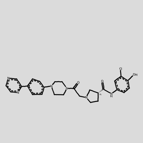 O=C(Nc1ccc(O)c(Cl)c1)[C@@H]1CCN(CC(=O)N2CCN(c3ccc(-c4cnccn4)cc3)CC2)C1